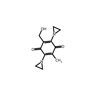 CC1=C(N2CC2)C(=O)C(CO)=C(N2CC2)C1=O